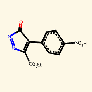 CCOC(=O)C1=C(c2ccc(S(=O)(=O)O)cc2)C(=O)N=N1